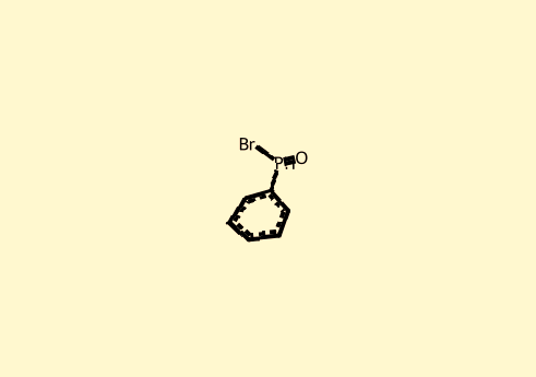 O=[PH](Br)c1ccccc1